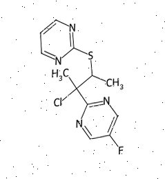 CC(Sc1ncccn1)C(C)(Cl)c1ncc(F)cn1